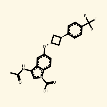 CC(=O)Nc1cn(C(=O)O)c2ccc(O[C@H]3C[C@H](c4ccc(C(F)(F)F)cc4)C3)cc12